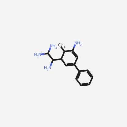 CC1C(N)=CC(c2ccccc2)=CC1C(N)C(N)N